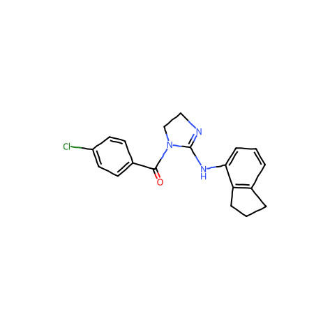 O=C(c1ccc(Cl)cc1)N1CCN=C1Nc1cccc2c1CCC2